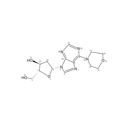 OC[C@H]1O[C@@H](n2cnc3c(N4CCOCC4)ncnc32)C[C@@H]1O